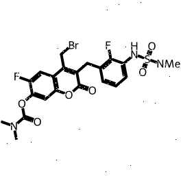 CNS(=O)(=O)Nc1cccc(Cc2c(CBr)c3cc(F)c(OC(=O)N(C)C)cc3oc2=O)c1F